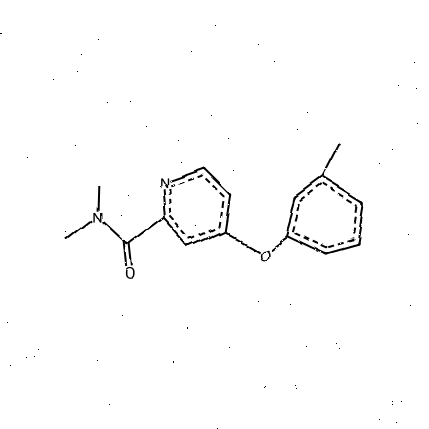 Cc1cccc(Oc2ccnc(C(=O)N(C)C)c2)c1